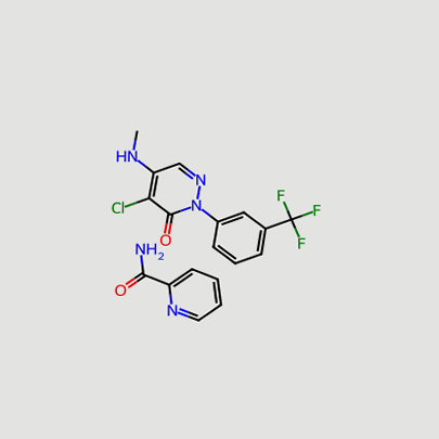 CNc1cnn(-c2cccc(C(F)(F)F)c2)c(=O)c1Cl.NC(=O)c1ccccn1